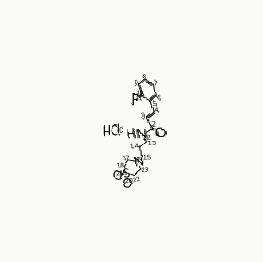 Cl.O=C(C=Cc1ccccc1F)NCCCN1CCS(=O)(=O)CC1